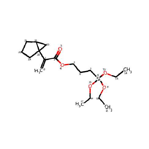 C=C(C(=O)OCCC[Si](OCC)(OCC)OCC)C12CCCC1C2